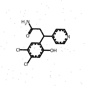 NC(=O)CC(c1ccncc1)c1cc(Cl)c(Cl)cc1O